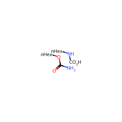 CCCCCCNC(=O)O.CCCCCCOC(N)=O